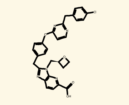 O=C(O)c1ccc2nc(Cc3ccc(Oc4ccnc(Cc5ccc(Cl)cc5)n4)cc3)n(C[C@@H]3CCO3)c2n1